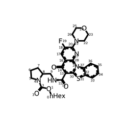 CCCCCCOC(=O)N1CCCC1CNC(=O)c1c(=O)c2cc(F)c(N3CCOCC3)nc2n2c1sc1ccccc12